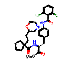 COC(=O)[C@H](Cc1ccc(NC(=O)c2c(Cl)cccc2Cl)cc1)NC(=O)C1(CCC2CNCCO2)CCCC1